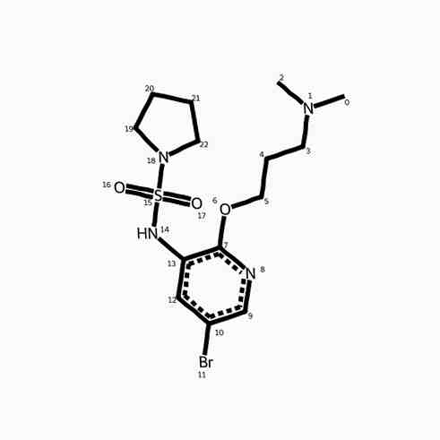 CN(C)CCCOc1ncc(Br)cc1NS(=O)(=O)N1CCCC1